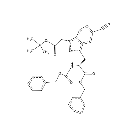 CC(C)(C)OC(=O)Cn1cc(C[C@H](NC(=O)OCc2ccccc2)C(=O)OCc2ccccc2)c2cc(C#N)ccc21